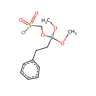 CO[Si](CCc1ccccc1)(OC)OCS(=O)(=O)Cl